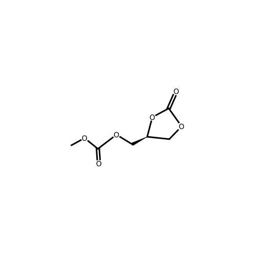 COC(=O)OC[C@@H]1COC(=O)O1